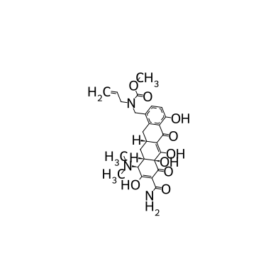 C=CCN(Cc1ccc(O)c2c1C[C@H]1C[C@H]3[C@H](N(C)C)C(O)=C(C(N)=O)C(=O)[C@@]3(O)C(O)=C1C2=O)C(=O)OC